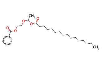 CCCCCCCCCCCCCCCC(=O)OC(C)OCCOC(=O)c1ccccc1